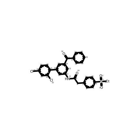 CCS(=O)(=O)c1ccc(CC(=O)Nc2cc(C(=O)c3ccccc3)cc(-c3ccc(Cl)cc3Cl)c2)cc1